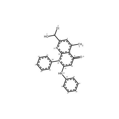 CCC(O)c1cc(C)c2c(=O)cc(Nc3ccccc3)n(-c3ccccc3)c2n1